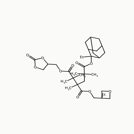 CCC1(COC(=O)C(C)(CC(C)(C)C(=O)OC2(CC)C3CC4CC(C3)CC2C4)C(C)(C)C(=O)OCC2COC(=O)O2)COC1